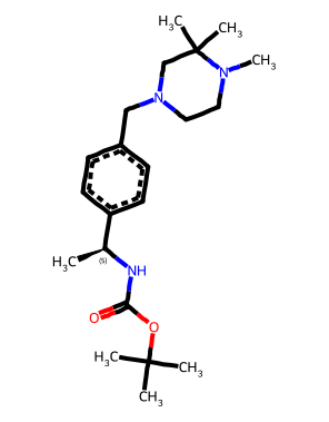 C[C@H](NC(=O)OC(C)(C)C)c1ccc(CN2CCN(C)C(C)(C)C2)cc1